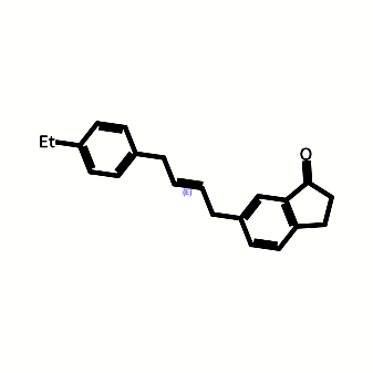 CCc1ccc(C/C=C/Cc2ccc3c(c2)C(=O)CC3)cc1